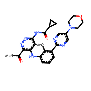 CNC(=O)c1nnc(NC(=O)C2CC2)cc1Nc1cccc(-c2ncc(N3CCOCC3)cn2)c1OC